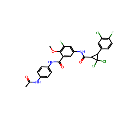 COc1c(F)cc(NC(=O)C2C(c3ccc(F)c(Cl)c3)C2(Cl)Cl)cc1C(=O)Nc1ccc(NC(C)=O)cc1